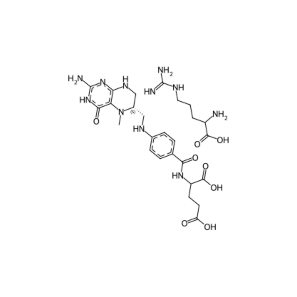 CN1c2c(nc(N)[nH]c2=O)NC[C@@H]1CNc1ccc(C(=O)NC(CCC(=O)O)C(=O)O)cc1.N=C(N)NCCCC(N)C(=O)O